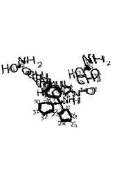 C.C.C.C.C.Cn1ncc(NC=O)c1NC(c1ccccc1)(c1ccccc1)c1ccccc1.NC(=O)O.NC(=O)O